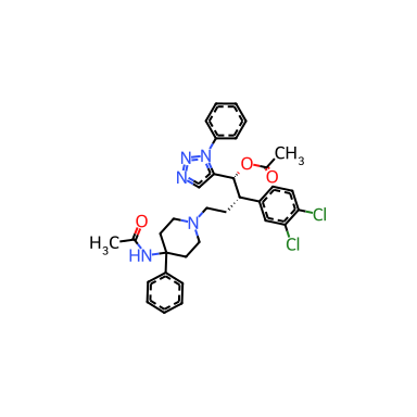 CC(=O)NC1(c2ccccc2)CCN(CC[C@@H](c2ccc(Cl)c(Cl)c2)[C@@H](OC(C)=O)c2cnnn2-c2ccccc2)CC1